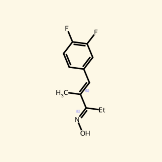 CCC(=N\O)/C(C)=C/c1ccc(F)c(F)c1